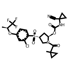 C[C@H](Oc1ccc(S(=O)(=O)[C@@H]2C[C@@H](OC(=O)NC3(C#N)CC3)N(C(=O)C3(C)CC3)C2)c(Cl)c1)C(F)(F)F